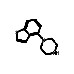 c1cc(N2CCNCC2)c2ccsc2c1